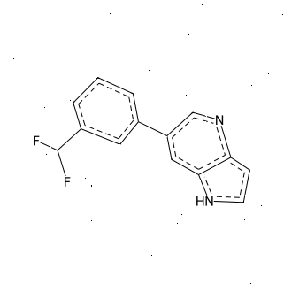 FC(F)c1cccc(-c2cnc3cc[nH]c3c2)c1